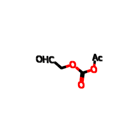 CC(=O)OC(=O)OCC=O